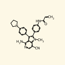 C=CC(=O)Nc1ccc(-c2c(-c3ccc(N4CCCC4)cc3)c3c(N)ncc(C#N)c3n2C)cc1